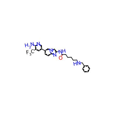 Nc1ncc(-c2ccc3nc(NC(=O)CCCCCNCc4ccccc4)cn3c2)cc1C(F)(F)F